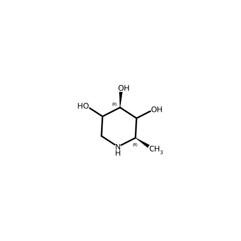 C[C@H]1NCC(O)[C@@H](O)C1O